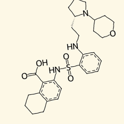 O=C(O)c1c(NS(=O)(=O)c2ccccc2NCC[C@@H]2CCCN2C2CCOCC2)ccc2c1CCCC2